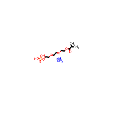 C=C(C)C(=O)OCCOCCOCCOP(=O)(O)O.N.N